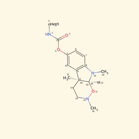 CCCCCCCNC(=O)Oc1ccc2c(c1)[C@]1(C)CCN(C)O[C@@H]1N2C